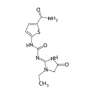 CCN1CC(=O)NC1=NC(=O)Nc1ccc(C(N)=O)s1